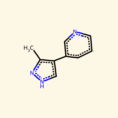 Cc1n[nH]cc1-c1c[c]cnc1